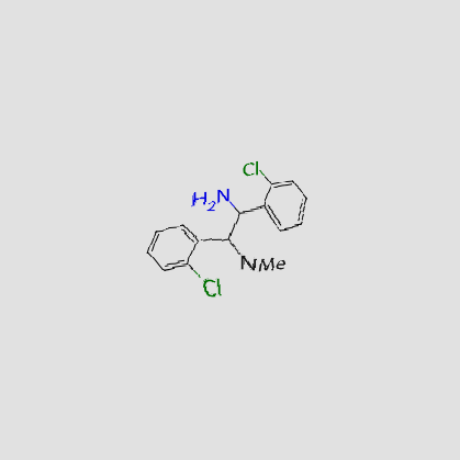 CNC(c1ccccc1Cl)C(N)c1ccccc1Cl